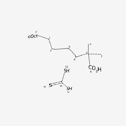 CCCCCCCCCCCCC(C)(C)C(=O)O.S=C(S)S